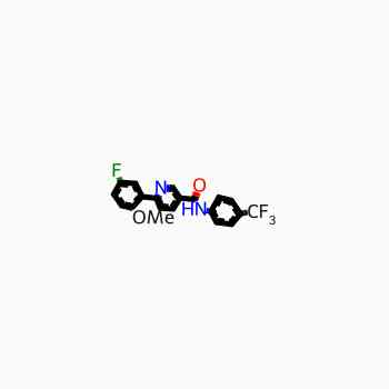 COc1ccc(F)cc1-c1ccc(C(=O)Nc2ccc(C(F)(F)F)cc2)cn1